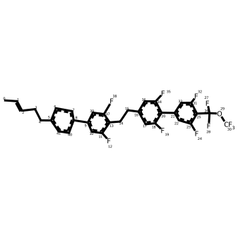 C/C=C/CCc1ccc(-c2cc(F)c(CCc3cc(F)c(-c4cc(F)c(C(F)(F)OC(F)(F)F)c(F)c4)c(F)c3)c(F)c2)cc1